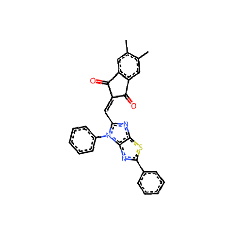 Cc1cc2c(cc1C)C(=O)C(=Cc1nc3sc(-c4ccccc4)nc3n1-c1ccccc1)C2=O